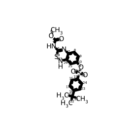 COC(=O)NC1=Nc2ccc(OS(=O)(=O)c3ccc(C(C)(C)C)cc3)cc2NS1